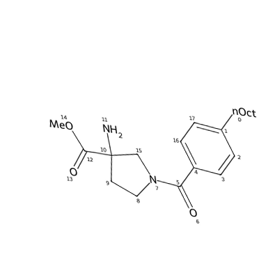 CCCCCCCCc1ccc(C(=O)N2CCC(N)(C(=O)OC)C2)cc1